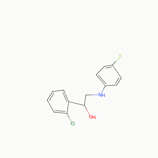 OC(CNc1ccc(F)cc1)c1ccccc1Cl